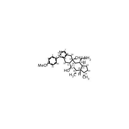 COc1ccc(-n2ncc3c2C[C@H](CO)[C@@](C)([C@H]2C[C@@H](C)[C@@H]4[C@H](CC[C@@H]4C)[C@@H]2CN)C3)cc1